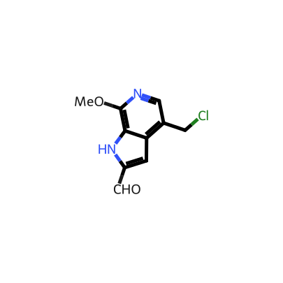 COc1ncc(CCl)c2cc(C=O)[nH]c12